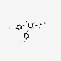 CC[C@H]1O[C@@H]2SC(N(C)C(=O)OC(C)(C)C)=N[C@@H]2[C@@H](OCc2ccc(OC)cc2)[C@@H]1OCc1ccc(OC)cc1